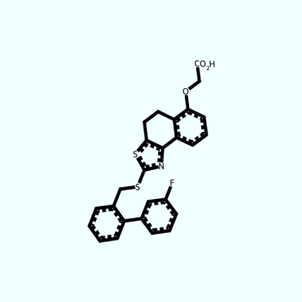 O=C(O)COc1cccc2c1CCc1sc(SCc3ccccc3-c3cccc(F)c3)nc1-2